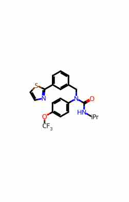 CC(C)NC(=O)N(Cc1cccc(-c2nccs2)c1)c1ccc(OC(F)(F)F)cc1